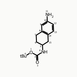 CC(C)(C)OC(=O)NC1CCc2cc(N)ccc2C1